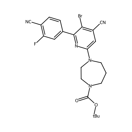 CC(C)(C)OC(=O)N1CCCN(c2cc(C#N)c(Br)c(-c3ccc(C#N)c(F)c3)n2)CC1